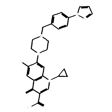 O=C(O)c1cn(C2CC2)c2cc(N3CCN(Cc4ccc(-n5cccn5)cc4)CC3)c(F)cc2c1=O